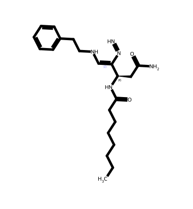 CCCCCCCC(=O)N[C@H](CC(N)=O)/C(=C/NCCc1ccccc1)N=N